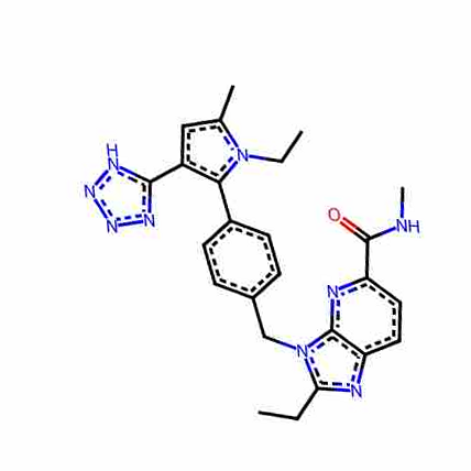 CCc1nc2ccc(C(=O)NC)nc2n1Cc1ccc(-c2c(-c3nnn[nH]3)cc(C)n2CC)cc1